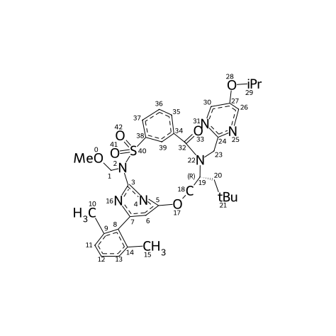 COCN1c2nc(cc(-c3c(C)cccc3C)n2)OC[C@@H](CC(C)(C)C)N(Cc2ncc(OC(C)C)cn2)C(=O)c2cccc(c2)S1(=O)=O